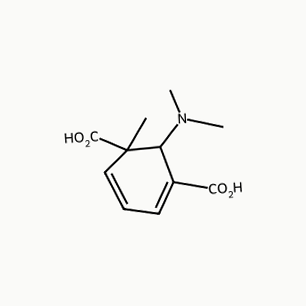 CN(C)C1C(C(=O)O)=CC=CC1(C)C(=O)O